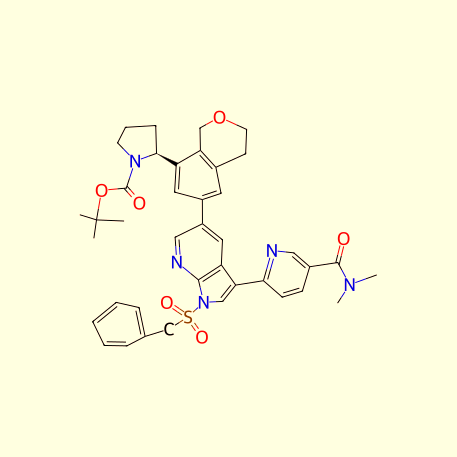 CN(C)C(=O)c1ccc(-c2cn(S(=O)(=O)Cc3ccccc3)c3ncc(-c4cc5c(c([C@@H]6CCCN6C(=O)OC(C)(C)C)c4)COCC5)cc23)nc1